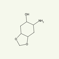 NC1CC2OCOC2CC1O